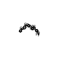 Cc1cc(Nc2nccn3c(-c4ccc(OC(F)F)cc4)cnc23)ccc1C(=O)N1CCN(CC(=O)N2CCCC2)CC1